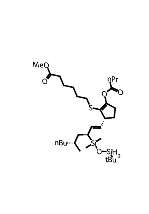 CCCC[C@@H](C)C[C@@H](/C=C/[C@H]1CCC(OC(=O)CCC)=C1SCCCCCC(=O)OC)[Si](C)(C)O[SiH2]C(C)(C)C